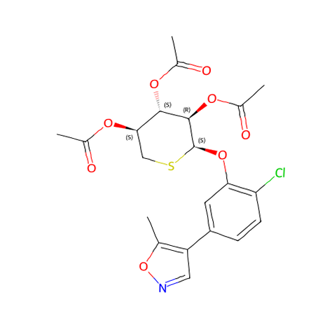 CC(=O)O[C@@H]1[C@@H](OC(C)=O)[C@@H](Oc2cc(-c3cnoc3C)ccc2Cl)SC[C@H]1OC(C)=O